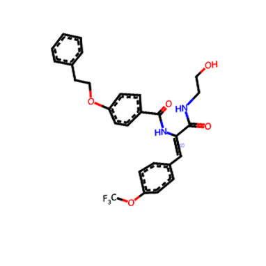 O=C(NCCO)/C(=C/c1ccc(OC(F)(F)F)cc1)NC(=O)c1ccc(OCCc2ccccc2)cc1